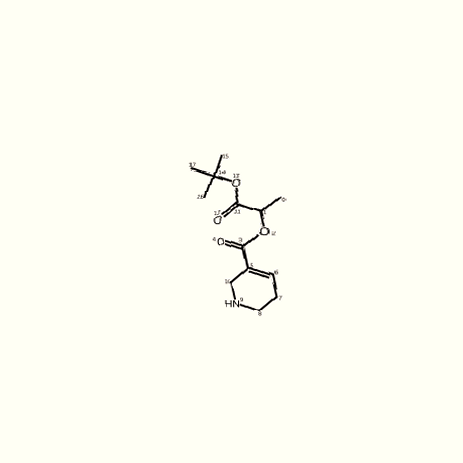 CC(OC(=O)C1=CCCNC1)C(=O)OC(C)(C)C